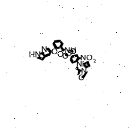 O=C(NS(=O)(=O)c1ccc(NCC2COCCN2C2CCC2)c([N+](=O)[O-])c1)c1ccccc1Oc1cnc2[nH]ccc2c1